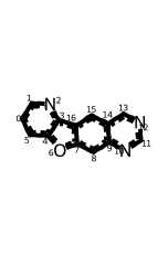 c1cnc2c(c1)oc1cc3ncncc3cc12